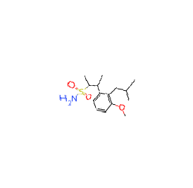 COc1cccc(C(C)C(C)S(N)(=O)=O)c1CC(C)C